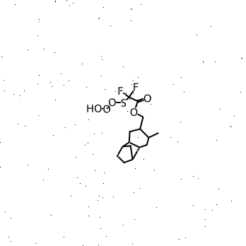 CC1CC2C3CCC(C3)C2CC1COC(=O)C(F)(F)SOOO